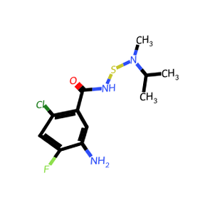 CC(C)N(C)SNC(=O)c1cc(N)c(F)cc1Cl